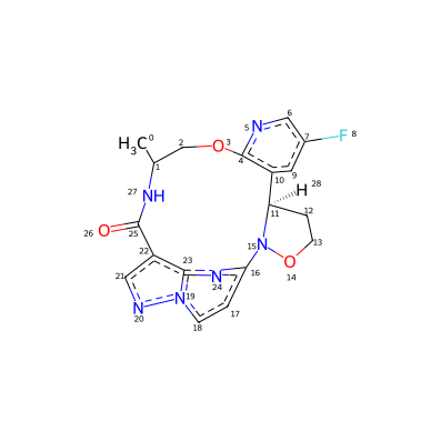 CC1COc2ncc(F)cc2[C@H]2CCON2c2ccn3ncc(c3n2)C(=O)N1